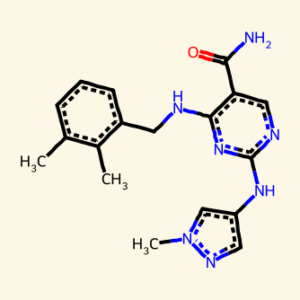 Cc1cccc(CNc2nc(Nc3cnn(C)c3)ncc2C(N)=O)c1C